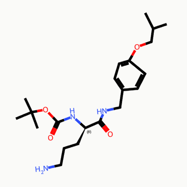 CC(C)COc1ccc(CNC(=O)[C@@H](CCCN)NC(=O)OC(C)(C)C)cc1